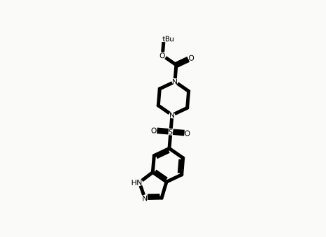 CC(C)(C)OC(=O)N1CCN(S(=O)(=O)c2ccc3cn[nH]c3c2)CC1